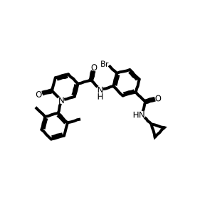 Cc1cccc(C)c1-n1cc(C(=O)Nc2cc(C(=O)NC3CC3)ccc2Br)ccc1=O